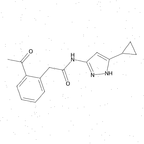 CC(=O)c1ccccc1CC(=O)Nc1cc(C2CC2)[nH]n1